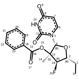 CC[C@H]1O[C@@H](n2ccc(=O)[nH]c2=O)[C@](C)(OC(=O)c2ccccc2)[C@@H]1F